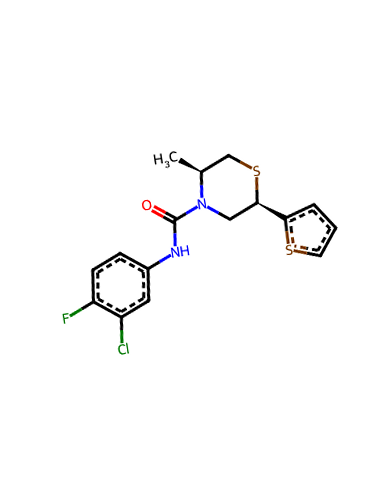 C[C@H]1CS[C@@H](c2cccs2)CN1C(=O)Nc1ccc(F)c(Cl)c1